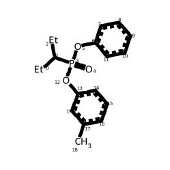 CCC(CC)P(=O)(Oc1ccccc1)Oc1cccc(C)c1